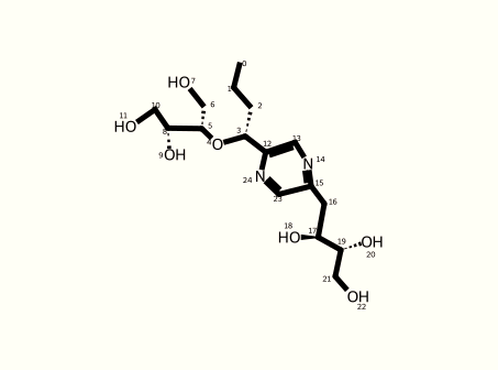 CCC[C@@H](O[C@@H](CO)[C@H](O)CO)c1cnc(C[C@H](O)[C@H](O)CO)cn1